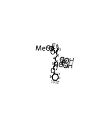 CCC=C(CCCCOOC1CCCCC1)OOOC.O=P(O)(O)O